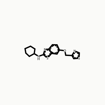 c1nc(COc2ccc3nc(NC4CCCCC4)sc3c2)cs1